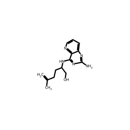 C=C(C)CCC(CO)Nc1nc(N)nc2cccnc12